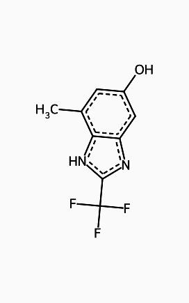 Cc1cc(O)cc2nc(C(F)(F)F)[nH]c12